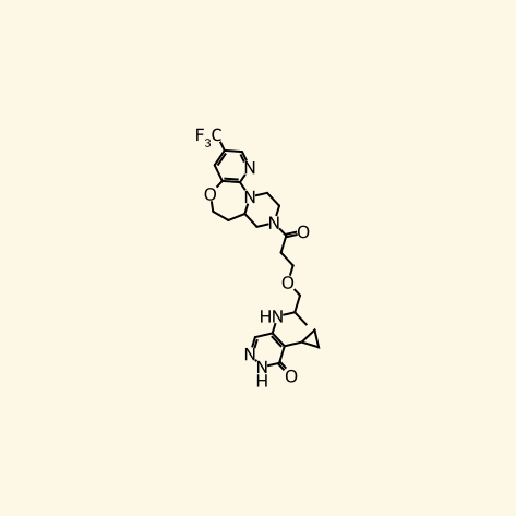 CC(COCCC(=O)N1CCN2c3ncc(C(F)(F)F)cc3OCCC2C1)Nc1cn[nH]c(=O)c1C1CC1